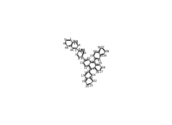 C1=Cc2ncc(-c3ccc(-c4ccc5c(-c6ccc7ccccc7c6)c6ccccc6c(-c6ccc7ccccc7c6)c5c4)cn3)cc2CC1